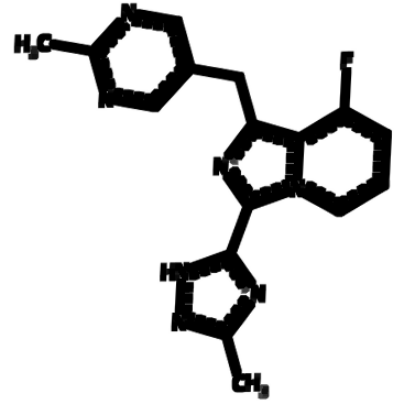 Cc1ncc(Cc2nc(-c3nc(C)n[nH]3)n3cccc(F)c23)cn1